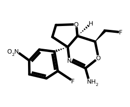 NC1=N[C@@]2(c3cc([N+](=O)[O-])ccc3F)CCO[C@H]2[C@@H](CF)O1